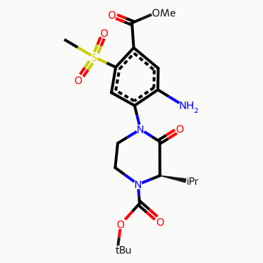 COC(=O)c1cc(N)c(N2CCN(C(=O)OC(C)(C)C)[C@H](C(C)C)C2=O)cc1S(C)(=O)=O